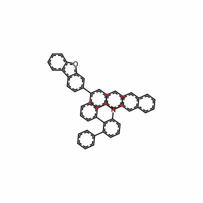 c1ccc(-c2ccccc2-c2c(-c3ccccc3)cccc2N(c2ccc(-c3ccc4c(c3)oc3ccccc34)cc2)c2ccc3ccccc3c2)cc1